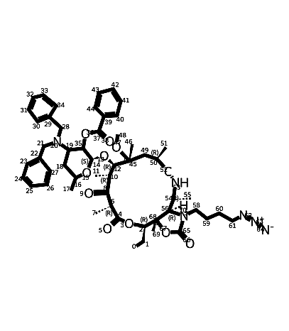 CC[C@H]1OC(=O)[C@H](C)C(=O)[C@H](C)[C@@H](O[C@@H]2OC(C)CC(N(Cc3ccccc3)Cc3ccccc3)C2OC(=O)c2ccccc2)[C@](C)(OC)C[C@@H](C)CN[C@H](C)[C@H]2N(CCCCN=[N+]=[N-])C(=O)O[C@]12C